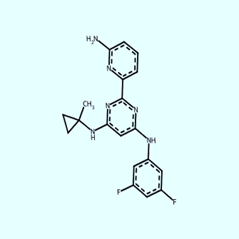 CC1(Nc2cc(Nc3cc(F)cc(F)c3)nc(-c3cccc(N)n3)n2)CC1